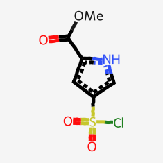 COC(=O)c1cc(S(=O)(=O)Cl)c[nH]1